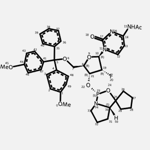 COc1ccc(C(OC[C@H]2O[C@@H](n3ccc(NC(C)=O)nc3=O)[C@H](F)[C@@H]2O[P@]2OC3(CCCC3)[C@@H]3CCCN32)(c2ccccc2)c2ccc(OC)cc2)cc1